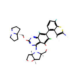 N#Cc1c(N)sc2c(F)ccc(-c3c(Cl)c4c5c(nc(OC[C@@]67CCCN6C[C@H](F)C7)nc5c3F)N3[C@H](CO4)C[C@@H]4OCC[C@@H]43)c12